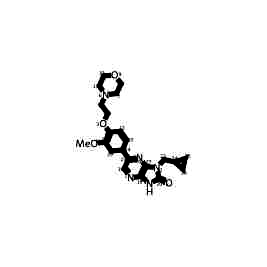 COC1=C(OCCN2CCOCC2)C=CC(c2cnc3[nH]c(=O)n(CC4CC4)c3n2)C1